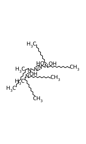 CCCCCCCCCCC(C)CN(CCN1CCN(CCN(CC(O)CCCCCCCCCC)CC(O)CCCCCCCCCC)CC1)CCN(CC(C)CCCCCCCCCC)CC(O)CCCCCCCCCC